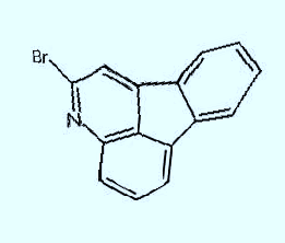 Brc1cc2c3c(cccc3n1)-c1ccccc1-2